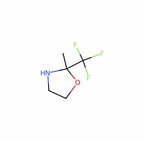 CC1(C(F)(F)F)NCCO1